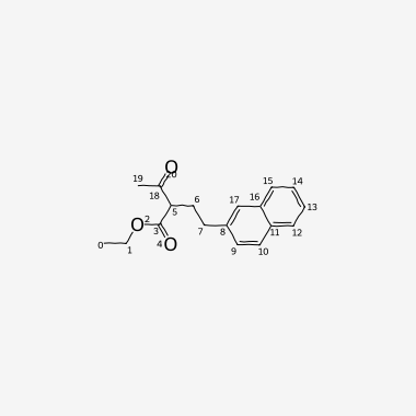 CCOC(=O)C(CCc1ccc2ccccc2c1)C(C)=O